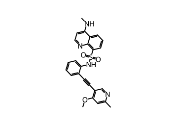 CNc1ccnc2c(S(=O)(=O)Nc3ccccc3C#Cc3cnc(C)cc3OC)cccc12